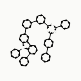 c1ccc(-c2ccc(-c3nc(-c4ccccc4)nc(-c4cccc(-c5cccc(-c6ccc7c(c6)c6cccc(-c8ccccc8)c6n7-c6ccccc6)c5)c4)n3)cc2)cc1